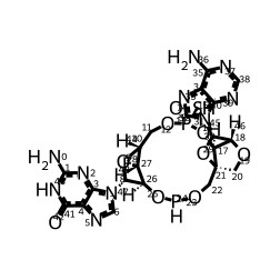 Nc1nc2c(ncn2[C@@H]2O[C@@H]3CO[P@@](=O)(S)O[C@H]4[C@H]5OC[C@]4(COPO[C@@H]2[C@@H]3F)O[C@H]5n2cnc3c(N)ncnc32)c(=O)[nH]1